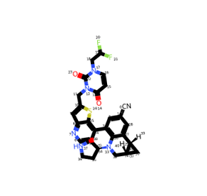 N#Cc1cc(-c2ccnc3cc(Cn4c(=O)ccn(CC(F)F)c4=O)sc23)c2c(c1)[C@@H]1C[C@@H]1CN2[C@H]1CCNC1